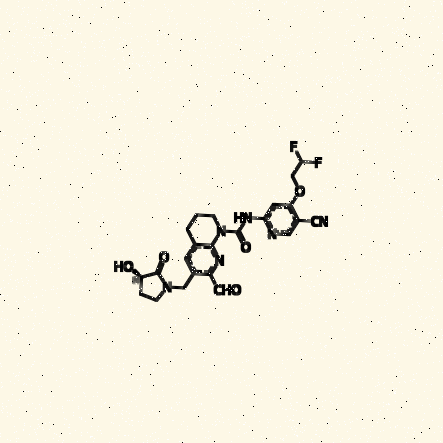 N#Cc1cnc(NC(=O)N2CCCc3cc(CN4CC[C@@H](O)C4=O)c(C=O)nc32)cc1OCC(F)F